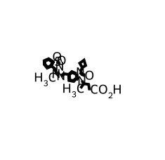 CC(CCC(=O)O)n1c(=O)n(C2CCC2)c2cc(/C=N/N(C)C3=NS(=O)(=O)c4ccccc43)ccc21